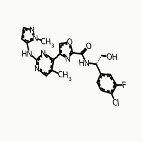 Cc1cnc(Nc2ccnn2C)nc1-c1coc(C(=O)N[C@H](CO)c2ccc(Cl)c(F)c2)n1